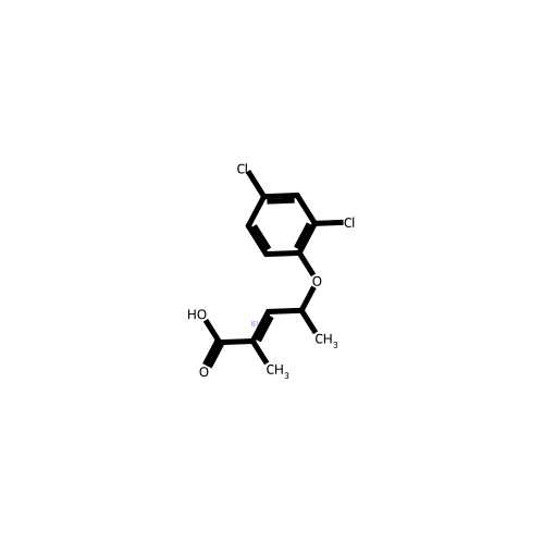 C/C(=C\C(C)Oc1ccc(Cl)cc1Cl)C(=O)O